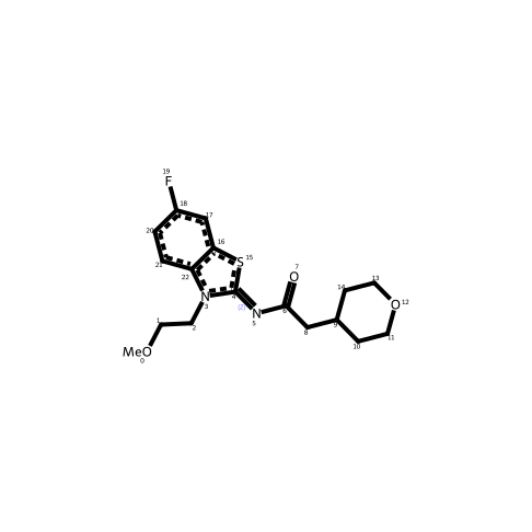 COCCn1/c(=N/C(=O)CC2CCOCC2)sc2cc(F)ccc21